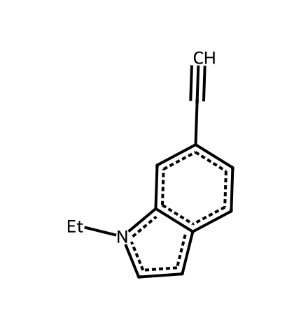 C#Cc1ccc2ccn(CC)c2c1